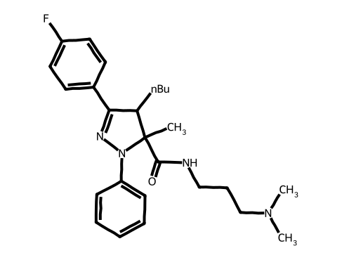 CCCCC1C(c2ccc(F)cc2)=NN(c2ccccc2)C1(C)C(=O)NCCCN(C)C